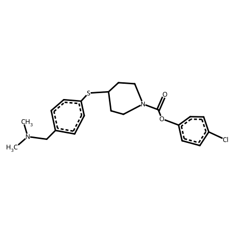 CN(C)Cc1ccc(SC2CCN(C(=O)Oc3ccc(Cl)cc3)CC2)cc1